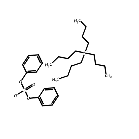 CCCC[N+](CCCC)(CCCC)CCCC.O=P([O-])(Oc1ccccc1)Oc1ccccc1